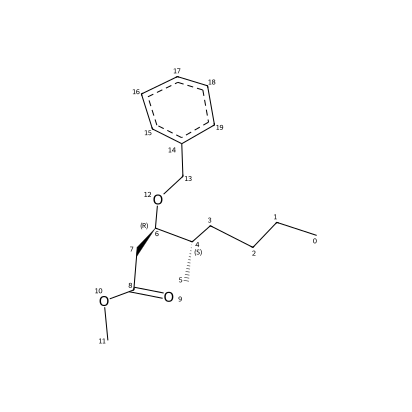 CCCC[C@H](C)[C@@H](CC(=O)OC)OCc1ccccc1